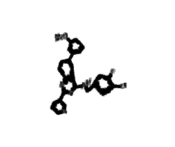 COc1cccc(-c2ccc3nc(-c4cccnc4)nc(NCc4ccc(Cl)c(F)c4)c3c2)c1